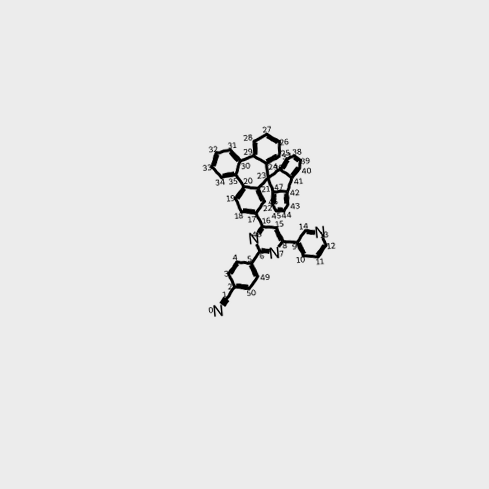 N#Cc1ccc(-c2nc(-c3cccnc3)cc(-c3ccc4c(c3)C3(c5ccccc5-c5ccccc5-4)c4ccccc4-c4ccccc43)n2)cc1